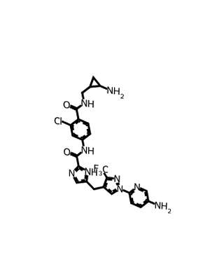 Nc1ccc(-n2cc(Cc3cnc(C(=O)Nc4ccc(C(=O)NCC5CC5N)c(Cl)c4)[nH]3)c(C(F)(F)F)n2)nc1